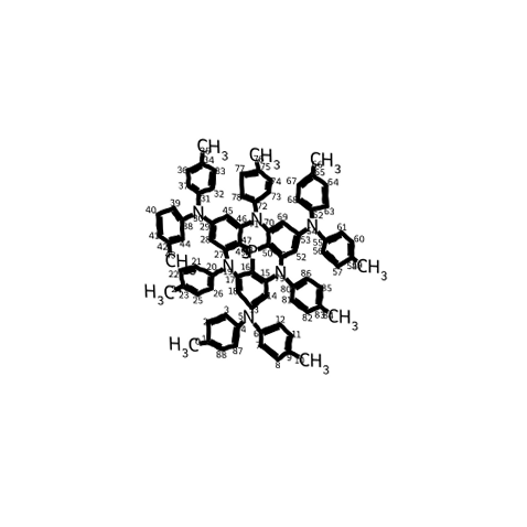 Cc1ccc(N(c2ccc(C)cc2)c2cc3c4c(c2)N(c2ccc(C)cc2)c2cc(N(c5ccc(C)cc5)c5cccc(C)c5)cc5c2P4(=S)c2c(cc(N(c4ccc(C)cc4)c4ccc(C)cc4)cc2N5c2ccc(C)cc2)N3c2ccc(C)cc2)cc1